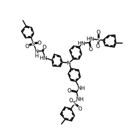 Cc1ccc(S(=O)(=O)NC(=O)Nc2ccc(N(c3ccc(NC(=O)NS(=O)(=O)c4ccc(C)cc4)cc3)c3ccc(NC(=O)NS(=O)(=O)c4ccc(C)cc4)cc3)cc2)cc1